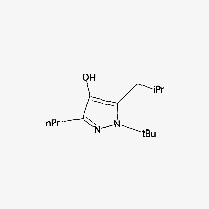 CCCc1nn(C(C)(C)C)c(CC(C)C)c1O